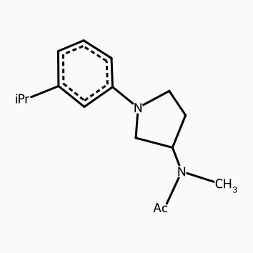 CC(=O)N(C)C1CCN(c2cccc(C(C)C)c2)C1